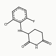 O=C1CCC(Nc2c(F)cccc2Cl)C(=O)N1